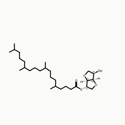 CC(C)CCCC(C)CCCC(C)CCCC(C)CCCC(=O)O[C@H]1CO[C@H]2[C@@H]1OC[C@H]2O